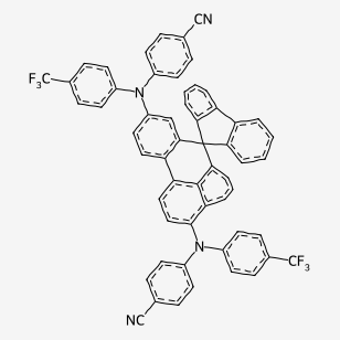 N#Cc1ccc(N(c2ccc(C(F)(F)F)cc2)c2ccc3c(c2)C2(c4ccccc4-c4ccccc42)c2cccc4c(N(c5ccc(C#N)cc5)c5ccc(C(F)(F)F)cc5)ccc-3c24)cc1